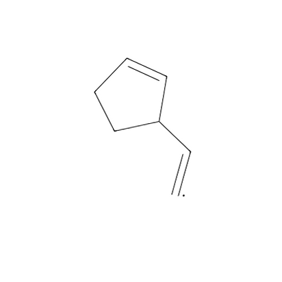 [CH]=CC1C=CCC1